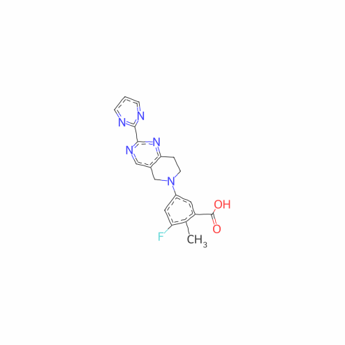 Cc1c(F)cc(N2CCc3nc(-c4ncccn4)ncc3C2)cc1C(=O)O